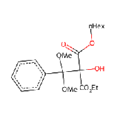 CCCCCCOC(=O)C(O)(C(=O)OCC)C(OC)(OC)c1ccccc1